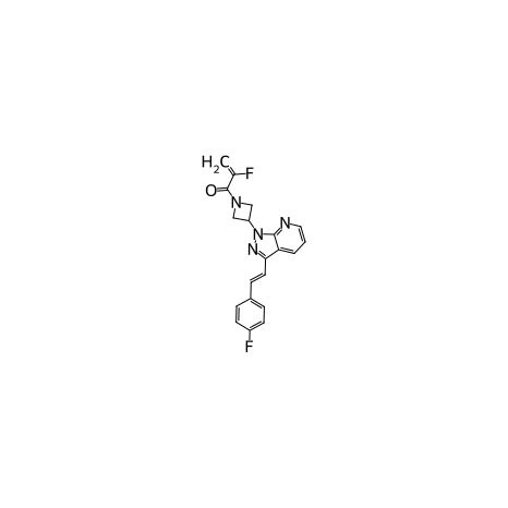 C=C(F)C(=O)N1CC(n2nc(C=Cc3ccc(F)cc3)c3cccnc32)C1